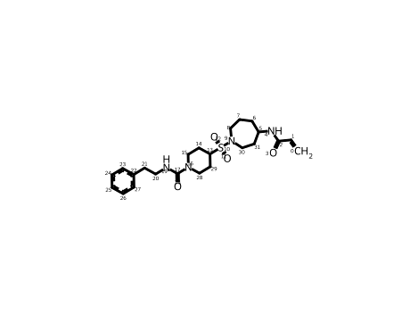 C=CC(=O)NC1CCCN(S(=O)(=O)C2CCN(C(=O)NCCc3ccccc3)CC2)CC1